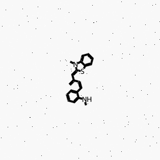 C=C(/C=C\c1ccccc1NC)/C=C1\Sc2ccccc2N1C